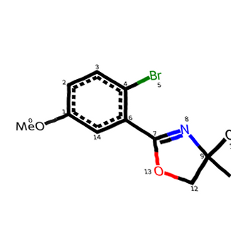 COc1ccc(Br)c(C2=NC(C)(C)CO2)c1